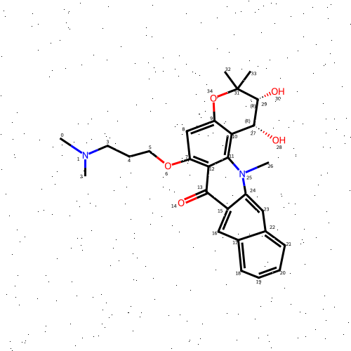 CN(C)CCCOc1cc2c(c3c1c(=O)c1cc4ccccc4cc1n3C)[C@@H](O)[C@@H](O)C(C)(C)O2